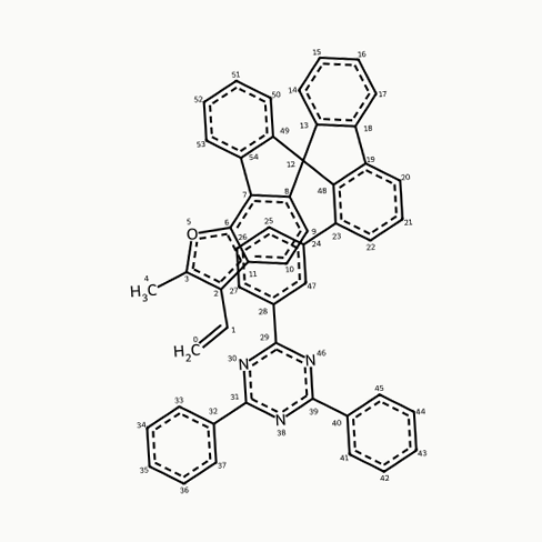 C=Cc1c(C)oc2c3c(ccc12)C1(c2ccccc2-c2cccc(-c4cccc(-c5nc(-c6ccccc6)nc(-c6ccccc6)n5)c4)c21)c1ccccc1-3